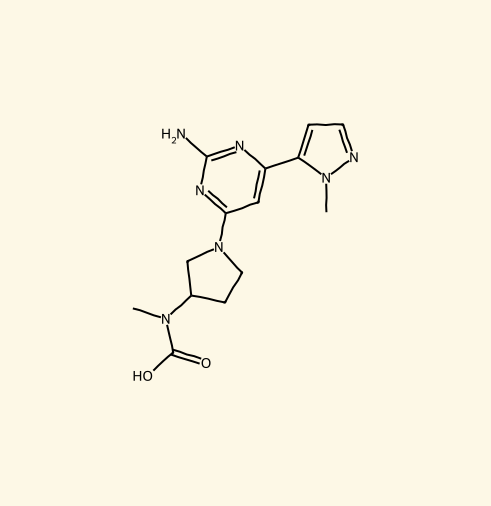 CN(C(=O)O)C1CCN(c2cc(-c3ccnn3C)nc(N)n2)C1